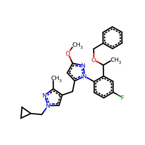 COc1cc(Cc2cn(CC3CC3)nc2C)n(-c2ccc(F)cc2C(C)OCc2ccccc2)n1